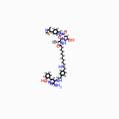 Cc1ncsc1-c1ccc(CNC(=O)[C@@H]2C[C@@H](O)CN2C(=O)[C@@H](NC(=O)CCCCCCCCCNCc2ccc(CCNc3cc(-c4ccccc4O)nnc3N)cc2)C(C)(C)C)cc1